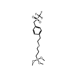 CO[Si](CCCSCCc1ccc(CS(=O)(=O)C(F)(F)F)cc1)(OC)OC